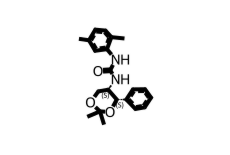 Cc1ccc(C)c(NC(=O)N[C@H]2COC(C)(C)O[C@H]2c2ccccc2)c1